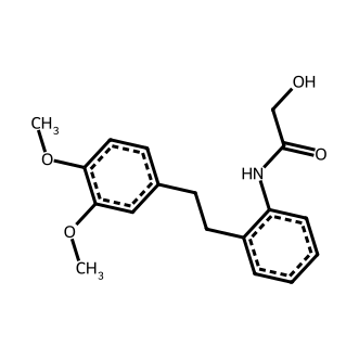 COc1ccc(CCc2ccccc2NC(=O)CO)cc1OC